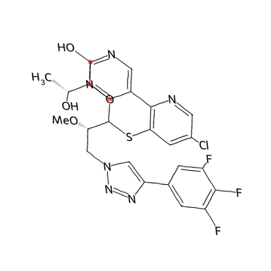 CO[C@@H](Cn1cc(-c2cc(F)c(F)c(F)c2)nn1)C(OC(CO)[C@@H](C)O)Sc1cc(Cl)cnc1-c1cncnc1